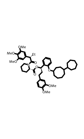 CC[C@H](C(=O)N1CCCC[C@H]1C(=O)O[C@H](CCc1ccc(OC)c(OC)c1)c1ccccc1OC1CCCCC(C2CCCCCC2)CC1)c1cc(OC)c(OC)c(OC)c1